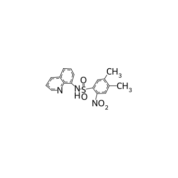 Cc1cc([N+](=O)[O-])c(S(=O)(=O)Nc2cccc3cccnc23)cc1C